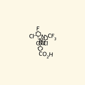 O=C(O)c1ccc(S(=O)(=O)N(Cc2ccc(F)cc2Cl)c2ncc(C(F)(F)F)cc2Cl)cc1